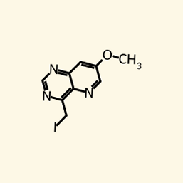 COc1cnc2c(CI)ncnc2c1